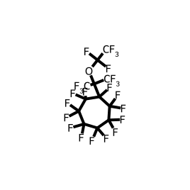 FC(F)(F)C(F)(F)OC(C(F)(F)F)(C(F)(F)F)C1(F)C(F)(F)C(F)(F)C(F)(F)C(F)(F)C(F)(F)C1(F)F